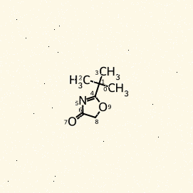 CC(C)(C)C1=NC(=O)CO1